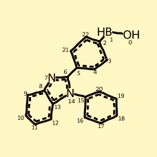 OBc1ccc(-c2nc3ccccc3n2-c2ccccc2)cc1